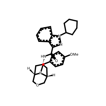 COc1ccc(CN2[C@@H]3COC[C@H]2C[C@@H](NC(=O)c2nn(C4CCCCC4)c4ccccc24)C3)cc1